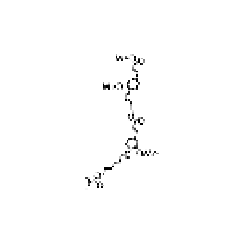 C=C(C)C(=O)OCCCCCCOc1ccc(/C=C/C(=O)OCCCOc2ccc(/C=C/C(=O)OC)cc2OC)cc1OC